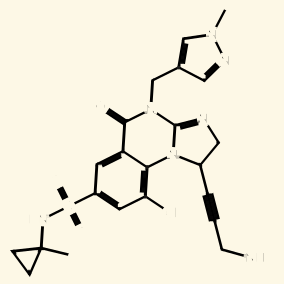 Cn1cc(CN2C(=O)c3cc(S(=O)(=O)NC4(C)CC4)cc(Cl)c3N3C2=NCC3C#CCN)cn1